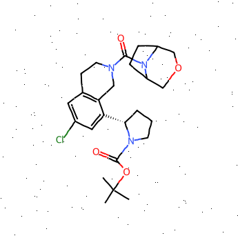 CC(C)(C)OC(=O)N1CCC[C@H]1c1cc(Cl)cc2c1CN(C(=O)N1C3CCC1COC3)CC2